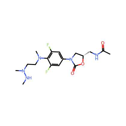 CNN(C)CCN(C)c1c(F)cc(N2C[C@H](CNC(C)=O)OC2=O)cc1F